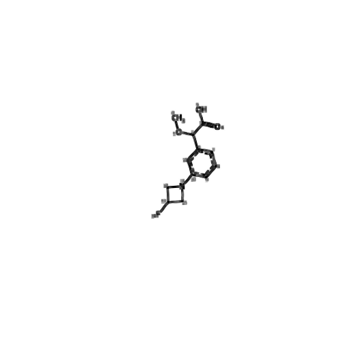 COC(C(=O)O)c1cccc(N2CC(F)C2)c1